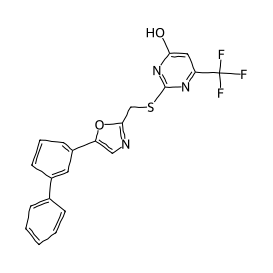 Oc1cc(C(F)(F)F)nc(SCc2ncc(-c3cccc(-c4ccccc4)c3)o2)n1